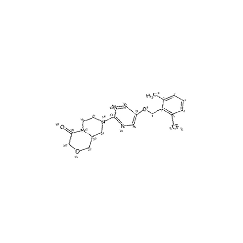 Cc1cccc(C(F)(F)F)c1COc1cnc(N2CCN3C(=O)COCC3C2)nc1